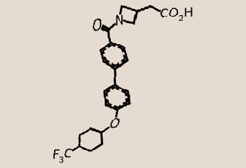 O=C(O)CC1CN(C(=O)c2ccc(-c3ccc(OC4CCC(C(F)(F)F)CC4)cc3)cc2)C1